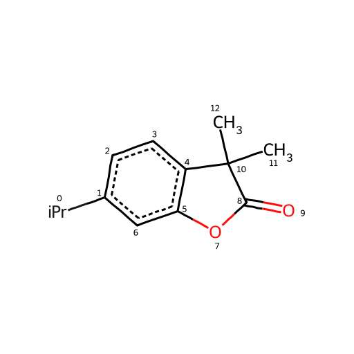 CC(C)c1ccc2c(c1)OC(=O)C2(C)C